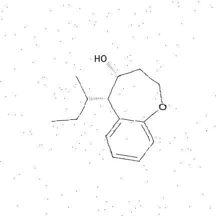 CCC(C)[C@H]1c2ccccc2OCC[C@H]1O